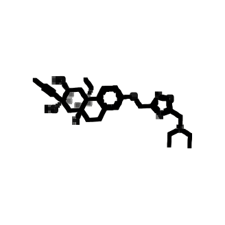 CC#C[C@]1(O)C[C@H]2CCc3cc(OCc4noc(CN(CC)CC)n4)ccc3[C@]2(CC)C[C@@H]1O